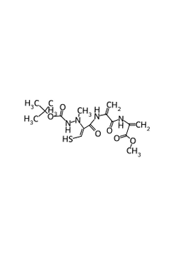 C=C(NC(=O)/C(=C/S)N(C)NC(=O)OC(C)(C)C)C(=O)NC(=C)C(=O)OC